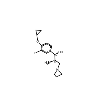 N[C@H](CN1CCC1)[C@H](O)c1ccc(OC2CC2)c(F)c1